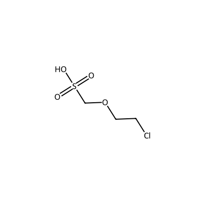 O=S(=O)(O)COCCCl